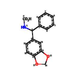 O=C(O)NC(c1ccccc1)c1ccc2c(c1)OCO2